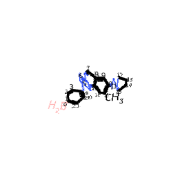 Bc1ccc(-n2ncc3cc(N4CCCC4)c(C)cc32)cc1